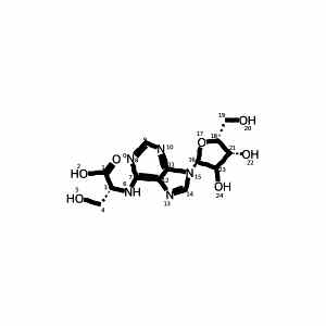 O=C(O)[C@@H](CO)Nc1ncnc2c1ncn2[C@@H]1O[C@H](CO)[C@H](O)C1O